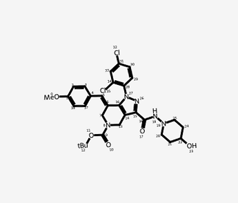 COc1ccc(/C=C2\CN(C(=O)OC(C)(C)C)Cc3c(C(=O)NN4CCC(O)CC4)nn(-c4ccc(Cl)cc4Cl)c32)cc1